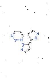 C1=CC(=C2C=CN=N2)N=N1.c1cnnnc1